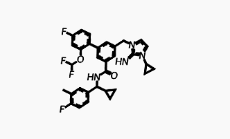 Cc1cc(C(NC(=O)c2cc(Cn3ccn(C4CC4)c3=N)cc(-c3ccc(F)cc3OC(F)F)c2)C2CC2)ccc1F